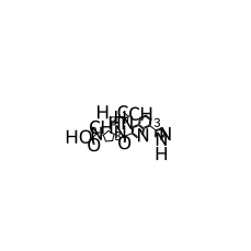 CC(C)Nc1c(C(=O)N[C@H]2CC[C@H](N(C)C(=O)O)C2)cnc2c(-c3cn[nH]c3)cccc12